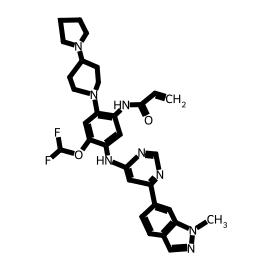 C=CC(=O)Nc1cc(Nc2cc(-c3ccc4cnn(C)c4c3)ncn2)c(OC(F)F)cc1N1CCC(N2CCCC2)CC1